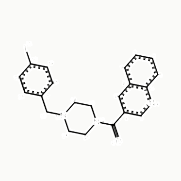 O=C(c1cnc2ccccc2c1)N1CCN(Cc2ccc(I)cc2)CC1